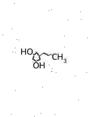 CCC=Cc1cc(O)cc(O)c1